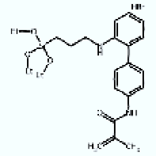 Br.C=C(C)C(=O)Nc1ccc(-c2ccccc2NCCC[Si](OCC)(OCC)OCC)cc1